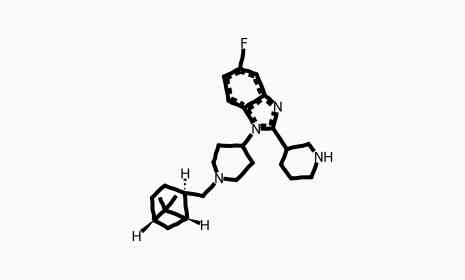 CC1(C)[C@H]2CC[C@@H](CN3CCC(n4c(C5CCCNC5)nc5cc(F)ccc54)CC3)[C@@H]1C2